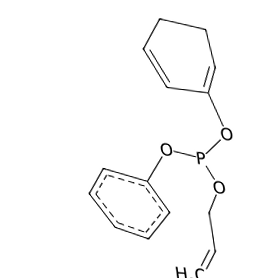 C=CCOP(OC1=CCCC=C1)Oc1ccccc1